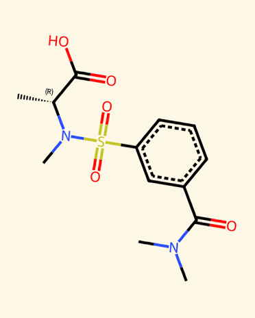 C[C@H](C(=O)O)N(C)S(=O)(=O)c1cccc(C(=O)N(C)C)c1